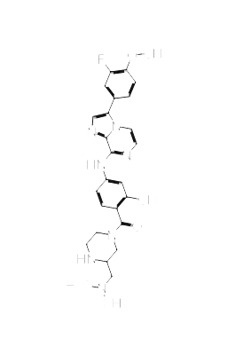 COc1ccc(-c2cnc3c(Nc4ccc(C(=O)N5CCNC(CN(C)C)C5)c(C)c4)nccn23)cc1F